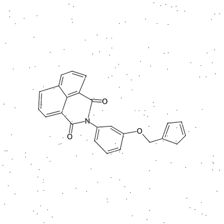 O=C1c2cccc3cccc(c23)C(=O)N1c1cccc(OCC2=CC=CC2)c1